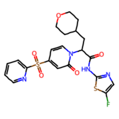 O=C(Nc1ncc(F)s1)C(CC1CCOCC1)n1ccc(S(=O)(=O)c2ccccn2)cc1=O